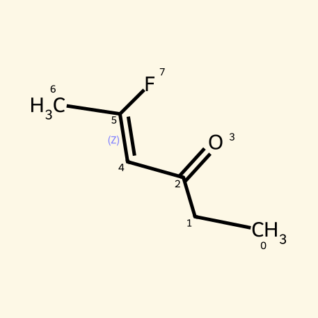 CCC(=O)/C=C(/C)F